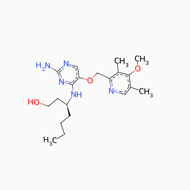 CCCC[C@@H](CCO)Nc1nc(N)ncc1OCc1ncc(C)c(OC)c1C